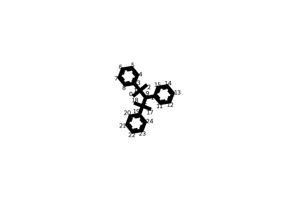 CC(C)(c1ccccc1)C(c1ccccc1)C(C)(C)c1ccccc1